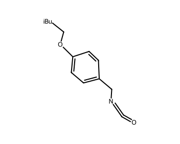 CCC(C)COc1ccc(CN=C=O)cc1